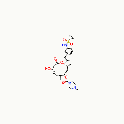 C/C(=C\c1cccc(NS(=O)(=O)C2CC2)c1)[C@H]1OC(=O)C[C@H](O)CC[C@H](C)[C@@H](OC(=O)N2CCN(C)CC2)/C=C/[C@@H]1C